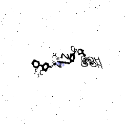 Nc1cc(C(=O)N2CCC(COP(=O)(O)O)C2)ccc1C/C=N/OCc1ccc(C2CCCCC2)c(C(F)(F)F)c1